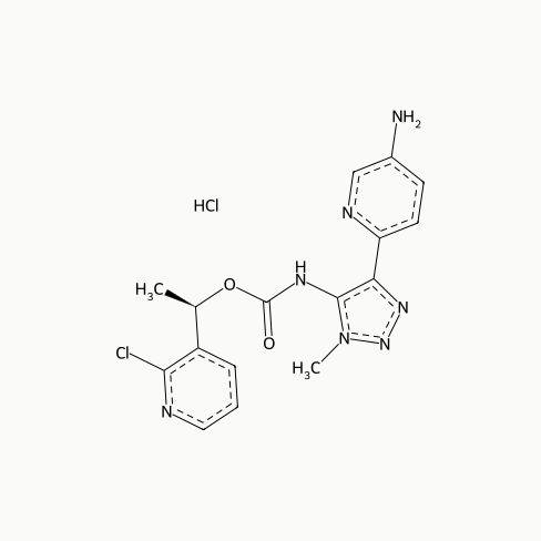 C[C@@H](OC(=O)Nc1c(-c2ccc(N)cn2)nnn1C)c1cccnc1Cl.Cl